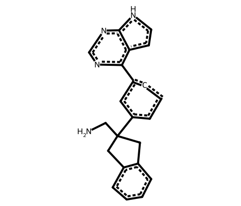 NCC1(c2cccc(-c3ncnc4[nH]ccc34)c2)Cc2ccccc2C1